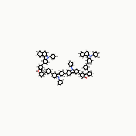 c1ccc(-n2c3ccc(-c4cccc(-c5cccc6oc7ccc(-c8ccc9c(c8)c8c%10ccccc%10ccc8n9-c8ccccc8)cc7c56)c4)cc3c3ccc(-c4ccc5c6cc(-c7ccc8oc9cccc(-c%10cccc(-c%11ccc%12c(c%11)c%11c%13ccccc%13ccc%11n%12-c%11ccccc%11)c%10)c9c8c7)ccc6n(-c6ccccc6)c5c4)cc32)cc1